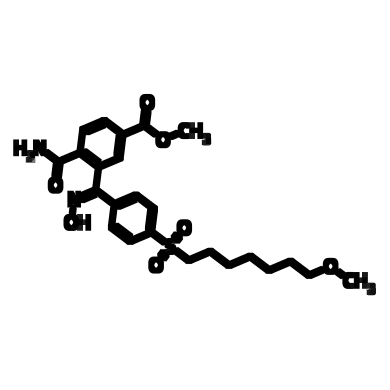 COCCCCCCCS(=O)(=O)c1ccc(C(=NO)c2cc(C(=O)OC)ccc2C(N)=O)cc1